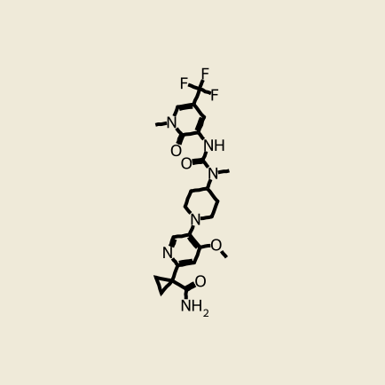 COc1cc(C2(C(N)=O)CC2)ncc1N1CCC(N(C)C(=O)Nc2cc(C(F)(F)F)cn(C)c2=O)CC1